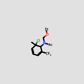 CCOCN(C(C)=O)C1C(C(F)(F)F)=CC=CC1(C)Cl